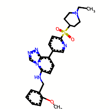 CCN1CCC(S(=O)(=O)c2ccc(-c3ccc(NCc4ccccc4OC)n4cnnc34)cn2)CC1